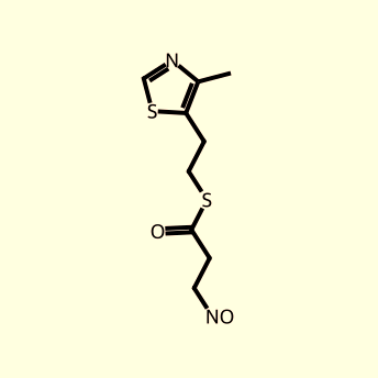 Cc1ncsc1CCSC(=O)CCN=O